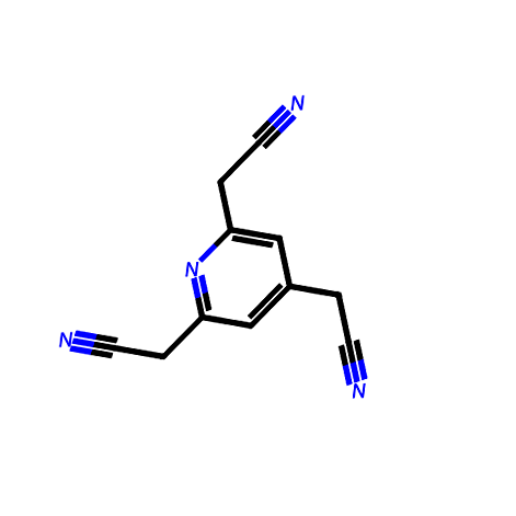 N#CCc1cc(CC#N)nc(CC#N)c1